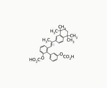 C/C(=C\c1cccc(OC(=O)O)c1-c1cccc(OC(=O)O)c1)c1ccc2c(c1)C(C)(C)CCC2(C)C